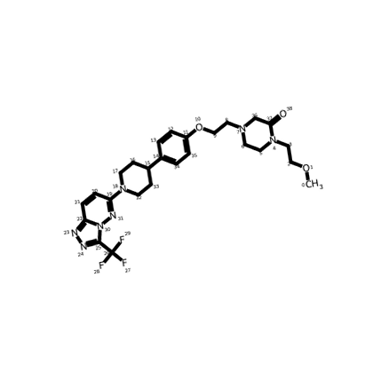 COCCN1CCN(CCOc2ccc(C3CCN(c4ccc5nnc(C(F)(F)F)n5n4)CC3)cc2)CC1=O